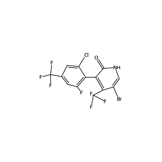 O=c1[nH]cc(Br)c(C(F)(F)F)c1-c1c(F)cc(C(F)(F)F)cc1Cl